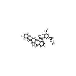 COc1cc(NOC=O)cc(-n2c(=O)n(-c3ccc(Oc4ccccc4)cc3)c3c(N)ncnc32)c1